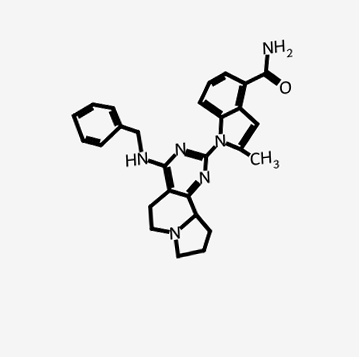 Cc1cc2c(C(N)=O)cccc2n1-c1nc(NCc2ccccc2)c2c(n1)C1CCCN1CC2